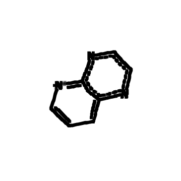 C1=C[N+]=c2nccnc2=C1